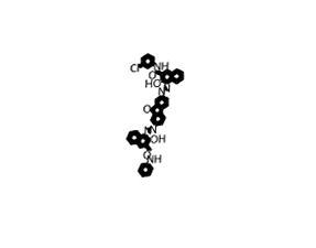 O=C1c2cc(N=Nc3c(O)c(CONc4ccccc4)cc4ccccc34)ccc2-c2ccc(N=Nc3c(O)c(C(=O)Nc4cccc(Cl)c4)cc4ccccc34)cc21